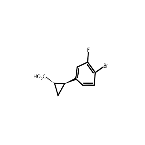 O=C(O)[C@H]1C[C@@H]1c1ccc(Br)c(F)c1